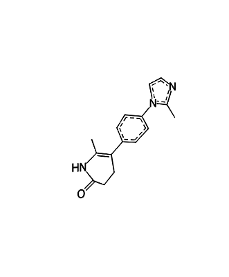 CC1=C(c2ccc(-n3ccnc3C)cc2)CCC(=O)N1